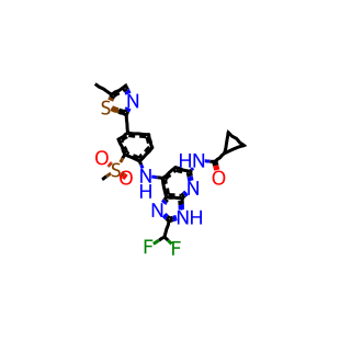 Cc1cnc(-c2ccc(Nc3cc(NC(=O)C4CC4)nc4[nH]c(C(F)F)nc34)c(S(C)(=O)=O)c2)s1